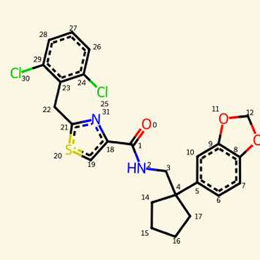 O=C(NCC1(c2ccc3c(c2)OCO3)CCCC1)c1csc(Cc2c(Cl)cccc2Cl)n1